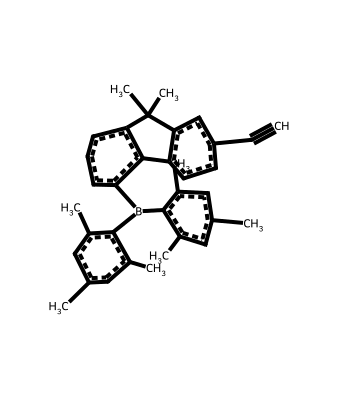 C#Cc1ccc2c(c1)C(C)(C)c1cccc(B(c3c(C)cc(C)cc3C)c3c(C)cc(C)cc3C)c1-2